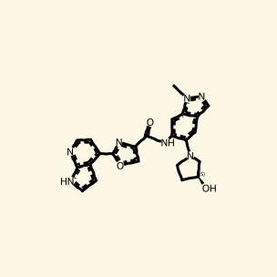 Cn1ncc2cc(N3CC[C@H](O)C3)c(NC(=O)c3coc(-c4ccnc5[nH]ccc45)n3)cc21